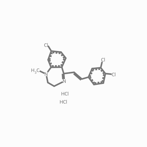 CN1CCN=C(C=Cc2ccc(Cl)c(Cl)c2)c2ccc(Cl)cc21.Cl.Cl